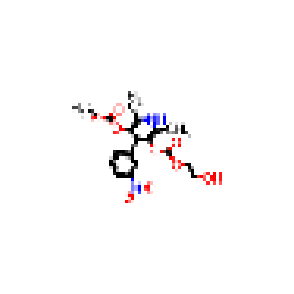 COC(=O)OC1=C(C)NC(C)=C(OC(=O)OCCO)C1c1cccc([N+](=O)[O-])c1